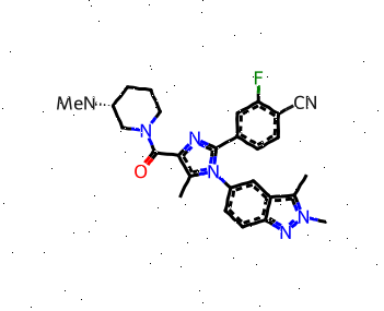 CN[C@@H]1CCCN(C(=O)c2nc(-c3ccc(C#N)c(F)c3)n(-c3ccc4nn(C)c(C)c4c3)c2C)C1